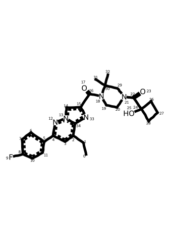 CCc1cc(-c2ccc(F)cc2)nn2cc(C(=O)N3CCN(C(=O)C4(O)CCC4)CC3(C)C)nc12